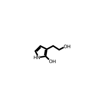 OCCc1cc[nH]c1O